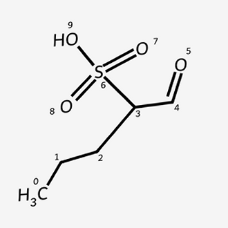 CCCC(C=O)S(=O)(=O)O